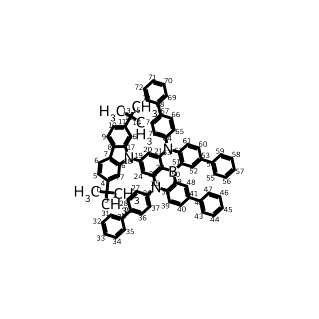 CC(C)(C)c1ccc2c3ccc(C(C)(C)C)cc3n(-c3cc4c5c(c3)N(c3ccc(-c6ccccc6)cc3)c3ccc(-c6ccccc6)cc3B5c3cc(-c5ccccc5)ccc3N4c3ccc(-c4ccccc4)cc3)c2c1